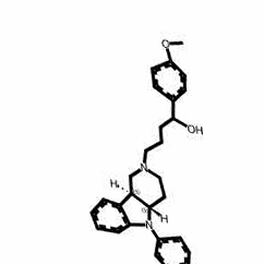 COc1ccc(C(O)CCCN2CC[C@H]3[C@H](C2)c2ccccc2N3c2ccccc2)cc1